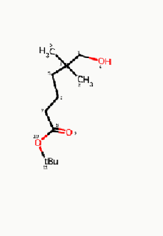 CC(C)(CO)CCCC(=O)OC(C)(C)C